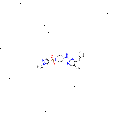 Cn1cc(S(=O)(=O)N2CCC(Nc3ncc(C#N)c(C=C4CCCC4)n3)CC2)cn1